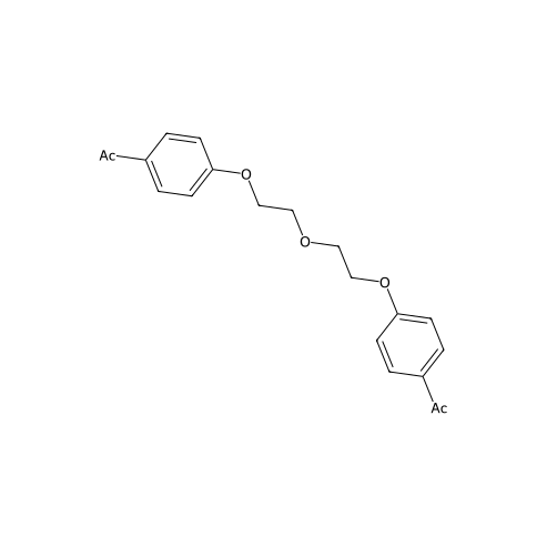 CC(=O)c1ccc(OCCOCCOc2ccc(C(C)=O)cc2)cc1